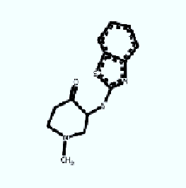 CN1CCC(=O)C(Sc2nc3ccccc3s2)C1